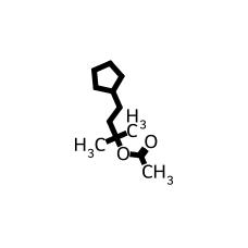 CC(=O)OC(C)(C)CCC1CCCC1